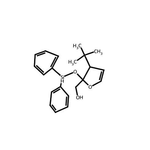 CC(C)(C)C1C=COC1(CO)O[SiH](c1ccccc1)c1ccccc1